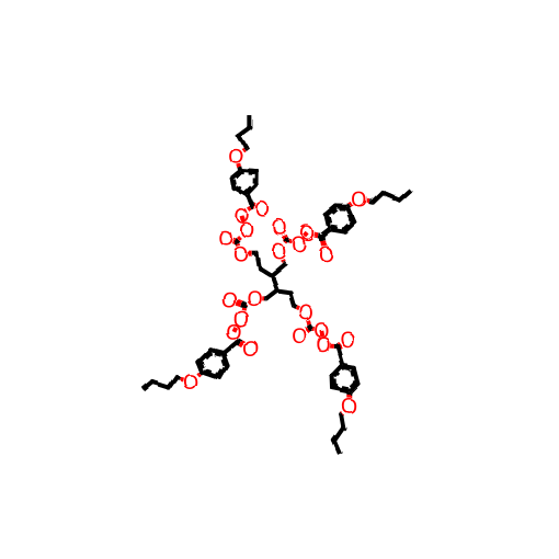 CCCCOc1ccc(C(=O)OOC(=O)OCCC(COC(=O)OOC(=O)c2ccc(OCCCC)cc2)C(CCOC(=O)OOC(=O)c2ccc(OCCCC)cc2)COC(=O)OOC(=O)c2ccc(OCCCC)cc2)cc1